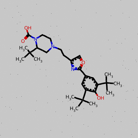 CC(C)(C)c1cc(-c2nc(CCN3CCN(C(=O)O)C(C(C)(C)C)C3)co2)cc(C(C)(C)C)c1O